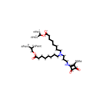 CCCCCCC(CCCCCC)OC(=O)CCCCCCCN(CCCCCCCC(=O)OCC(CCCCC)CCCCC)CCCNc1c(NC)c(=O)c1=O